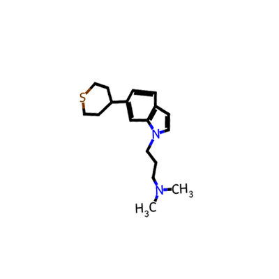 CN(C)CCCn1ccc2ccc(C3CCSCC3)cc21